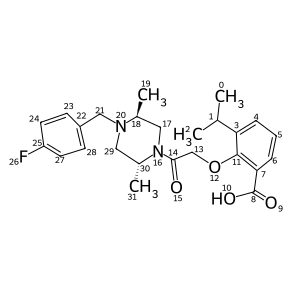 CC(C)c1cccc(C(=O)O)c1OCC(=O)N1C[C@H](C)N(Cc2ccc(F)cc2)C[C@H]1C